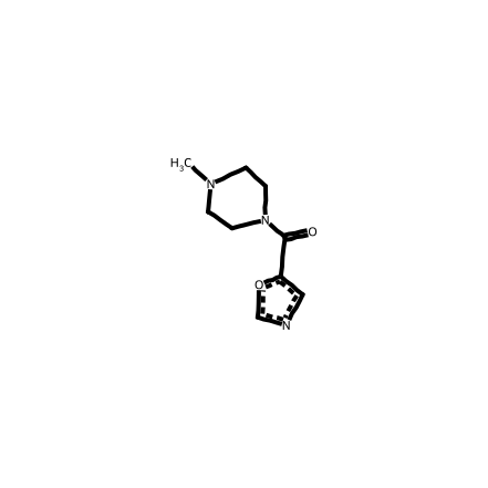 CN1CCN(C(=O)c2cnco2)CC1